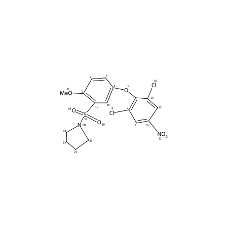 COc1ccc(Oc2c(Cl)cc([N+](=O)[O-])cc2Cl)cc1S(=O)(=O)N1CCCC1